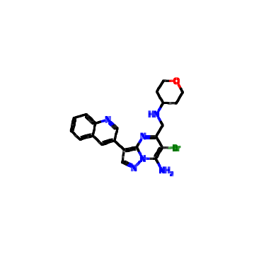 Nc1c(Br)c(CNC2CCOCC2)nc2c(-c3cnc4ccccc4c3)cnn12